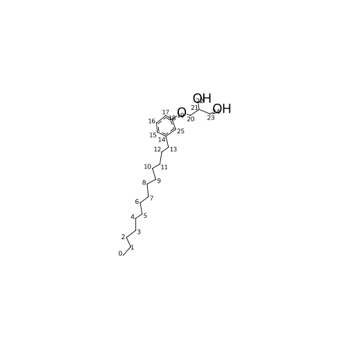 CCCCCCCCCCCCCCc1cccc(OCC(O)CO)c1